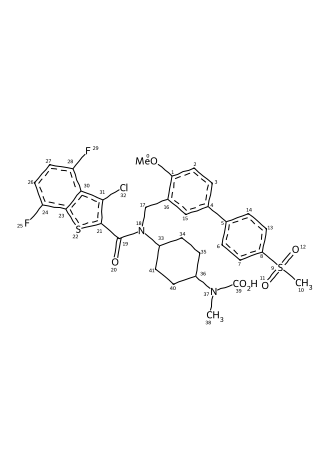 COc1ccc(-c2ccc(S(C)(=O)=O)cc2)cc1CN(C(=O)c1sc2c(F)ccc(F)c2c1Cl)C1CCC(N(C)C(=O)O)CC1